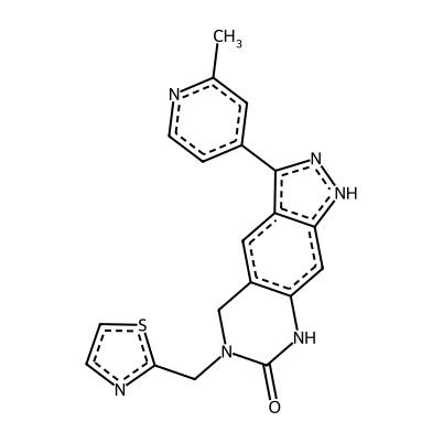 Cc1cc(-c2n[nH]c3cc4c(cc23)CN(Cc2nccs2)C(=O)N4)ccn1